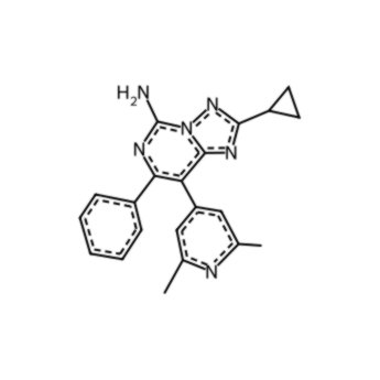 Cc1cc(-c2c(-c3ccccc3)nc(N)n3nc(C4CC4)nc23)cc(C)n1